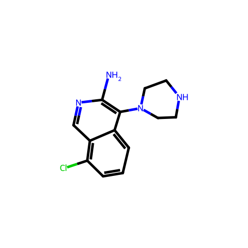 Nc1ncc2c(Cl)cccc2c1N1CCNCC1